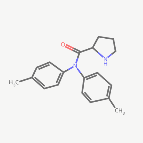 Cc1ccc(N(C(=O)C2CCCN2)c2ccc(C)cc2)cc1